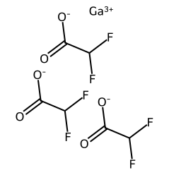 O=C([O-])C(F)F.O=C([O-])C(F)F.O=C([O-])C(F)F.[Ga+3]